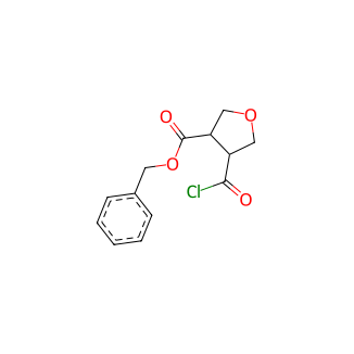 O=C(Cl)C1COCC1C(=O)OCc1ccccc1